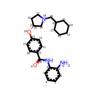 Nc1ccccc1NC(=O)c1ccc(O[C@@H]2CCN(CC3CCCCC3)C2)cc1